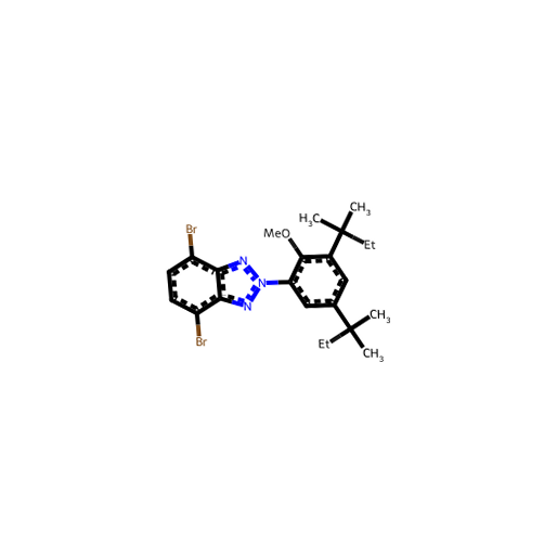 CCC(C)(C)c1cc(-n2nc3c(Br)ccc(Br)c3n2)c(OC)c(C(C)(C)CC)c1